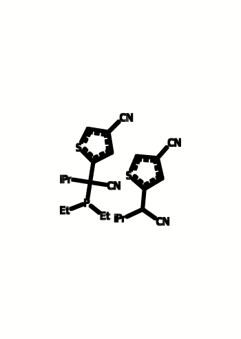 CC(C)C(C#N)c1cc(C#N)cs1.CCP(CC)C(C#N)(c1cc(C#N)cs1)C(C)C